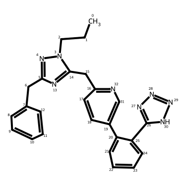 CCCn1nc(Cc2ccccc2)nc1Cc1ccc(-c2ccccc2-c2nnn[nH]2)cn1